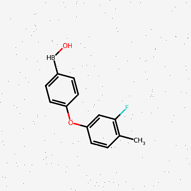 Cc1ccc(Oc2ccc(BO)cc2)cc1F